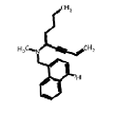 [3H]c1ccc(CN(C)C(C#CC=C)CCCC)c2ccccc12